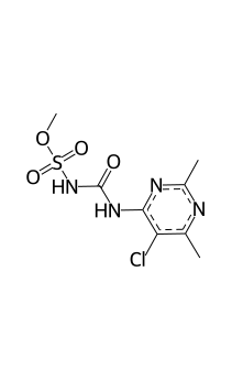 COS(=O)(=O)NC(=O)Nc1nc(C)nc(C)c1Cl